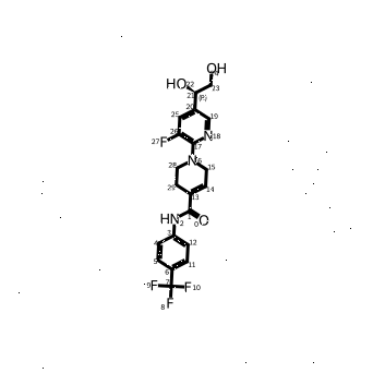 O=C(Nc1ccc(C(F)(F)F)cc1)C1=CCN(c2ncc([C@@H](O)CO)cc2F)CC1